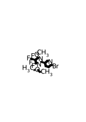 CCOCC.COc1nc(-c2ccc(Br)nc2)nc(F)c1C(F)(F)F